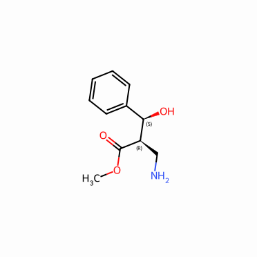 COC(=O)[C@H](CN)[C@H](O)c1ccccc1